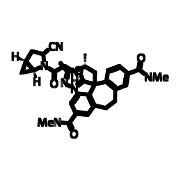 CNC(=O)c1ccc2c(c1)CCc1cc(C(=O)NC)ccc1C2(C[C@@H](C)NCC(=O)N1C(C#N)C[C@@H]2C[C@@H]21)c1nnc(C)o1